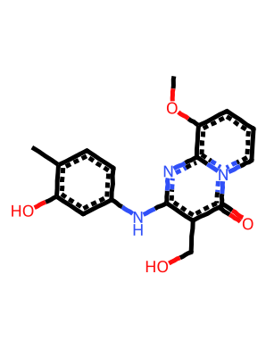 COc1cccn2c(=O)c(CO)c(Nc3ccc(C)c(O)c3)nc12